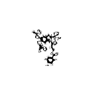 COC(=O)[C@@H]1Cc2cc(OC(C)=O)c(OC(C)=O)cc2N1C(=O)CCSC(=O)c1ccccc1